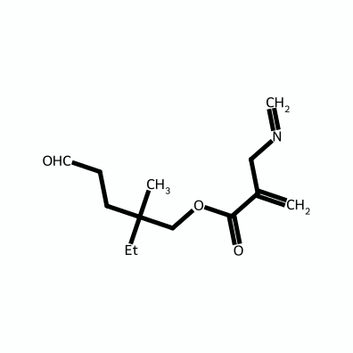 C=NCC(=C)C(=O)OCC(C)(CC)CCC=O